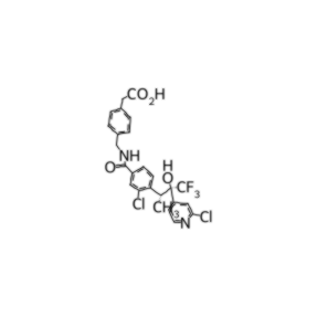 C[C@H](c1ccc(C(=O)NCc2ccc(CC(=O)O)cc2)cc1Cl)[C@@](O)(c1ccnc(Cl)c1)C(F)(F)F